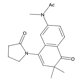 CC(=O)N(C)c1ccc2c(c1)C(N1CCCC1=O)=CC(C)(C)C2=O